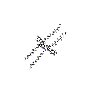 CCCCCCCCCCCCCCS(CCCCCCCCCCCCCC)(Cc1ccccc1)OC(=O)/C=C\C(=O)OS(CCCCCCCCCCCCCC)(CCCCCCCCCCCCCC)Cc1ccccc1